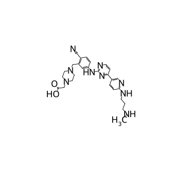 CNCCCNc1ccc(-c2ccnc(Nc3ccc(C#N)c(CN4CCN(CC(=O)O)CC4)c3)n2)cn1